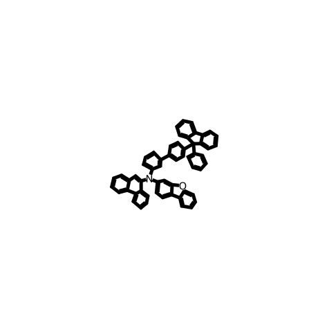 c1ccc(C2(c3ccc(-c4cccc(N(c5ccc6c(c5)oc5ccccc56)c5cc6ccccc6c6ccccc56)c4)cc3)c3ccccc3-c3ccccc32)cc1